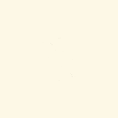 CCCCN(CCC)C1CCc2c(N)cccc2C1.Cl.Cl